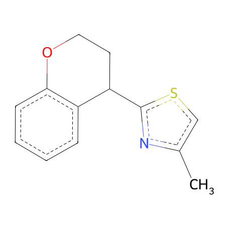 Cc1csc(C2CCOc3ccccc32)n1